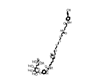 N#CC#Cc1ccc(NC(=O)CCCNC(=O)CCOCCOCCOCCOCCn2cc(CCCCNC(=O)Nc3ccc(O[C@H]4O[C@H](CCP(=O)(O)O)[C@@H](O)[C@H](O)[C@@H]4O)cc3)nn2)cc1